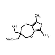 COCC1(CO)COc2c(C)sc(C)c2OC1